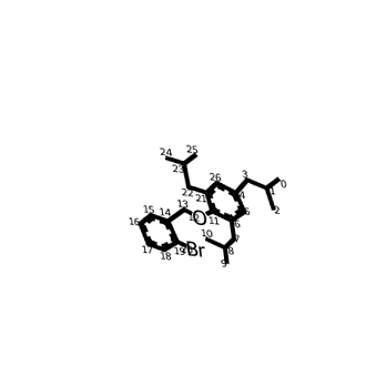 CC(C)Cc1cc(CC(C)C)c(OCc2ccccc2Br)c(CC(C)C)c1